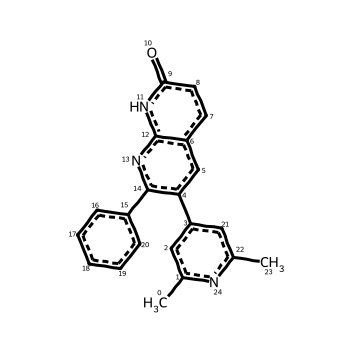 Cc1cc(-c2cc3ccc(=O)[nH]c3nc2-c2ccccc2)cc(C)n1